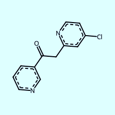 O=C(Cc1cc(Cl)ccn1)c1cccnc1